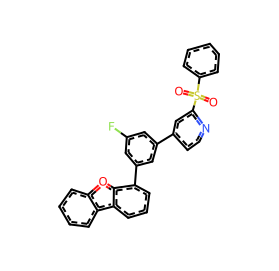 O=S(=O)(c1ccccc1)c1cc(-c2cc(F)cc(-c3cccc4c3oc3ccccc34)c2)ccn1